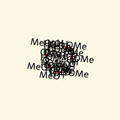 COCC[C@H]1O[C@H]2OC(COC)[C@@H](O[C@H]3OC(COC)[C@@H](O[C@H]4OC(COC)[C@@H](O[C@H]5OC6(COC)[C@@H](O[C@H]7OC(COC)[C@@H](O[C@H]8OC(COC)[C@@H](O[C@@H](O)/C(OC)=C/1O)C(O)C8OC)C(O)C7OC)C(O)C56OC)C(O)C4OC)C(O)C3OC)C(O)C2OC